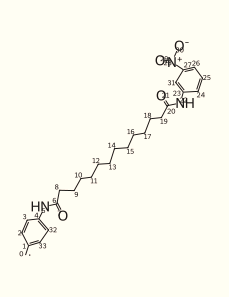 [CH2]c1ccc(NC(=O)CCCCCCCCCCCCC(=O)Nc2cccc([N+](=O)[O-])c2)cc1